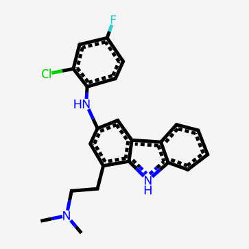 CN(C)CCc1cc(Nc2ccc(F)cc2Cl)cc2c1[nH]c1ccccc12